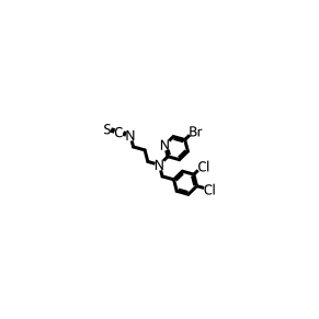 S=C=NCCCN(Cc1ccc(Cl)c(Cl)c1)c1ccc(Br)cn1